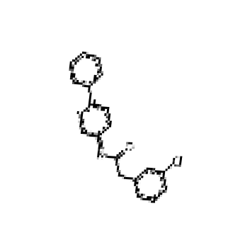 O=C(Cc1cccc(Cl)c1)N=c1ccn(-c2ccccc2)nc1